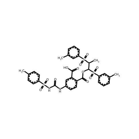 Cc1ccc(S(=O)(=O)NC(=O)Nc2ccc(C(=O)OC(C(C)S(=O)(=O)c3cccc(C)c3)S(=O)(=O)c3cccc(C)c3)c(C(=O)O)c2)cc1